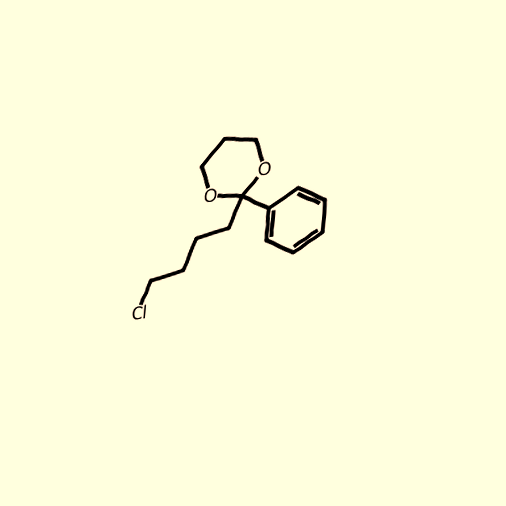 ClCCCCC1(c2ccccc2)OCCCO1